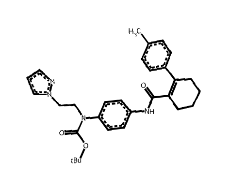 Cc1ccc(C2=C(C(=O)Nc3ccc(N(CCn4cccn4)C(=O)OC(C)(C)C)cc3)CCCC2)cc1